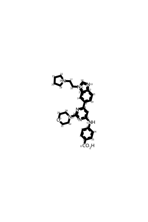 O=C(O)c1ccc(Nc2cc(-c3ccc4ncn(CCN5CCCC5)c4c3)nc(N3CCOCC3)n2)cc1